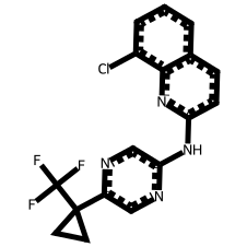 FC(F)(F)C1(c2cnc(Nc3ccc4cccc(Cl)c4n3)cn2)CC1